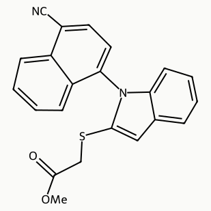 COC(=O)CSc1cc2ccccc2n1-c1ccc(C#N)c2ccccc12